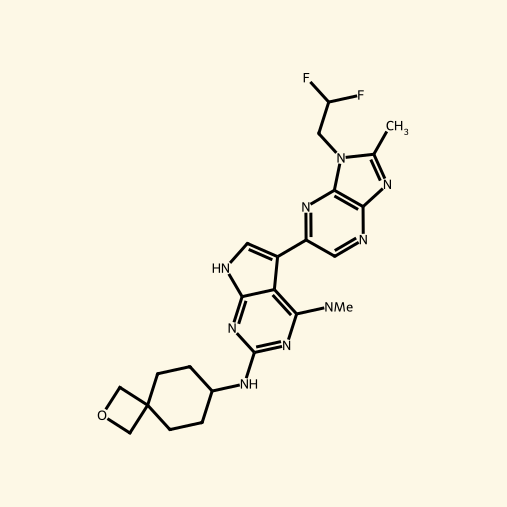 CNc1nc(NC2CCC3(CC2)COC3)nc2[nH]cc(-c3cnc4nc(C)n(CC(F)F)c4n3)c12